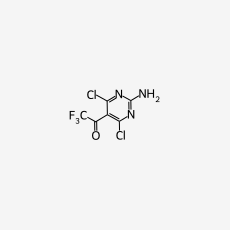 Nc1nc(Cl)c(C(=O)C(F)(F)F)c(Cl)n1